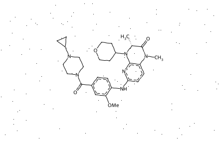 COc1cc(C(=O)N2CCN(C3CC3)CC2)ccc1Nc1ccc2c(n1)N(C1CCOCC1)[C@H](C)C(=O)N2C